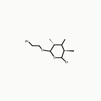 CCC1OC(OCCC(C)C)[C@H](C)C(C)[C@H]1C